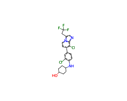 OC1CCC(Nc2ccc(-c3ccn4c(CC(F)(F)F)cnc4c3Cl)cc2Cl)CC1